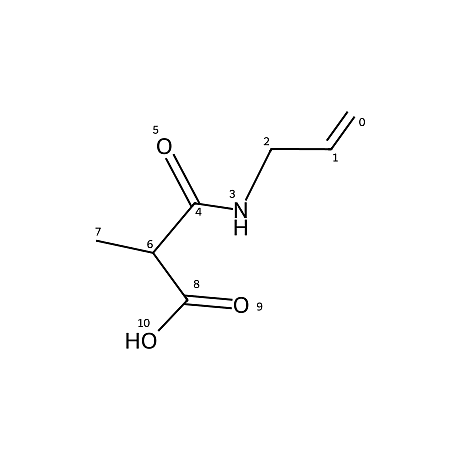 C=CCNC(=O)C(C)C(=O)O